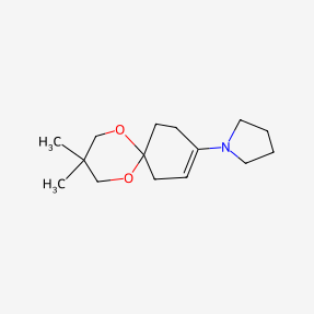 CC1(C)COC2(CC=C(N3CCCC3)CC2)OC1